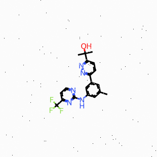 Cc1cc(Nc2nccc(C(F)(F)F)n2)cc(-c2ccc(C(C)(C)O)nn2)c1